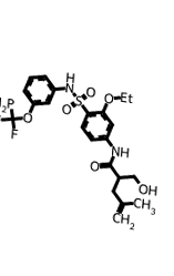 C=C(C)CC(CO)C(=O)Nc1ccc(S(=O)(=O)Nc2cccc(OC(F)(F)P)c2)c(OCC)c1